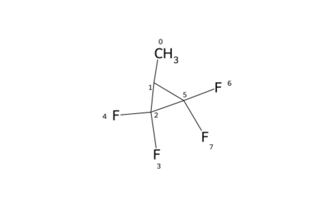 CC1C(F)(F)C1(F)F